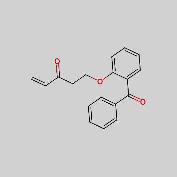 C=CC(=O)CCOc1ccccc1C(=O)c1ccccc1